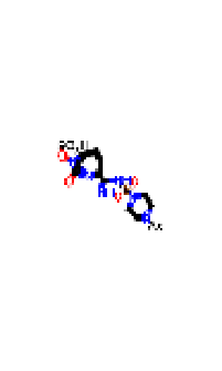 CC(=O)N1CCN(S(=O)(=O)NC(=N)C2CCC3CN2C(=O)N3OS(=O)(=O)O)CC1